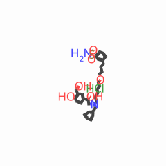 Cl.NS(=O)(=O)c1cccc(CCCCOCCCCCCN(Cc2ccccc2)C[C@H](O)c2ccc(O)c(CO)c2)c1